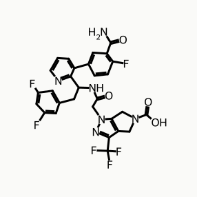 NC(=O)c1cc(-c2cccnc2C(Cc2cc(F)cc(F)c2)NC(=O)Cn2nc(C(F)(F)F)c3c2CN(C(=O)O)C3)ccc1F